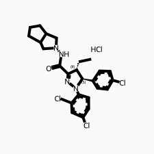 CC[C@H]1C(C(=O)NN2CC3CCCC3C2)=NN(c2ccc(Cl)cc2Cl)[C@@H]1c1ccc(Cl)cc1.Cl